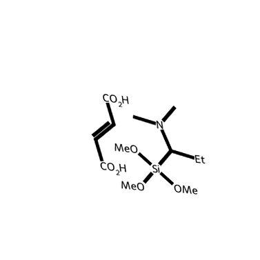 CCC(N(C)C)[Si](OC)(OC)OC.O=C(O)C=CC(=O)O